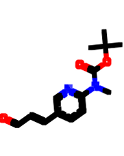 CN(C(=O)OC(C)(C)C)c1ccc(/C=C/C=O)cn1